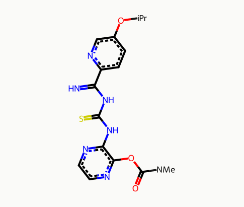 CNC(=O)Oc1nccnc1NC(=S)NC(=N)c1ccc(OC(C)C)cn1